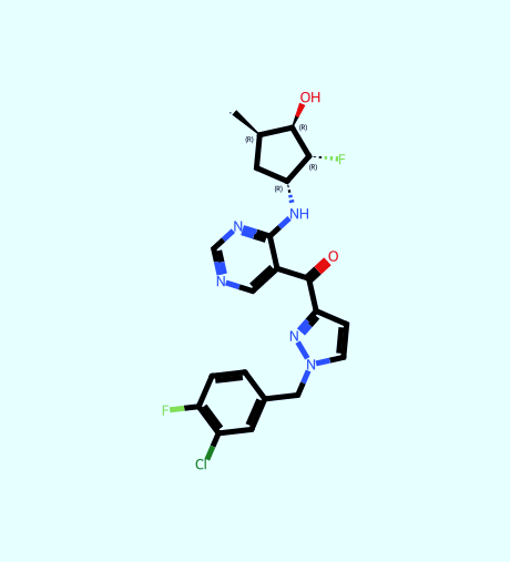 [CH2][C@@H]1C[C@@H](Nc2ncncc2C(=O)c2ccn(Cc3ccc(F)c(Cl)c3)n2)[C@@H](F)[C@@H]1O